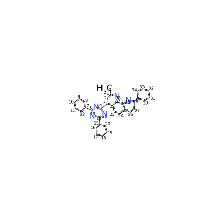 Cc1cc(-c2nc(-c3ccccc3)nc(-c3ccccc3)n2)c2ccc3ccc(-c4ccccc4)nc3c2n1